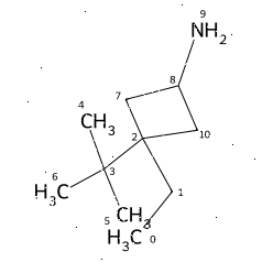 CCC1(C(C)(C)C)CC(N)C1